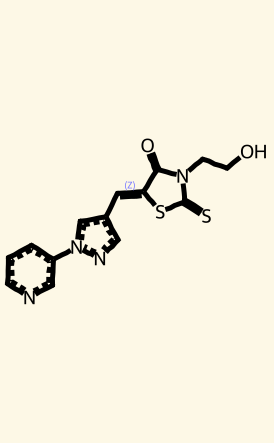 O=C1/C(=C/c2cnn(-c3cccnc3)c2)SC(=S)N1CCO